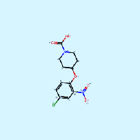 O=C(O)N1CCC(Oc2ccc(Cl)cc2[N+](=O)[O-])CC1